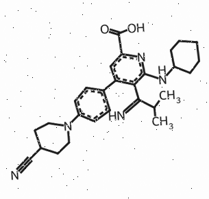 CC(C)C(=N)c1c(-c2ccc(N3CCC(C#N)CC3)cc2)cc(C(=O)O)nc1NC1CCCCC1